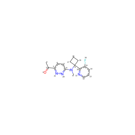 CC(=O)c1ccc(N(C)C2(c3ncccc3F)CCC2)nn1